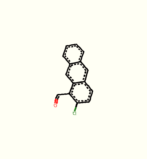 O=Cc1c(Cl)ccc2cc3ccccc3cc12